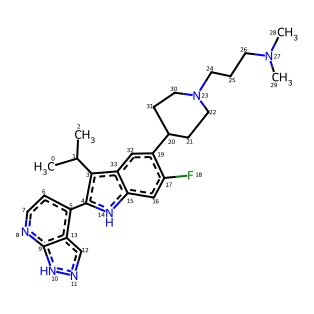 CC(C)c1c(-c2ccnc3[nH]ncc23)[nH]c2cc(F)c(C3CCN(CCCN(C)C)CC3)cc12